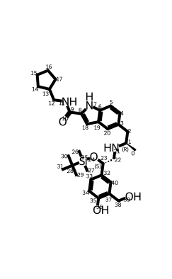 C[C@H](Cc1ccc2[nH]c(C(=O)NCC3CCCC3)cc2c1)NC[C@@H](O[Si](C)(C)C(C)(C)C)c1ccc(O)c(CO)c1